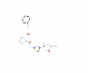 CC(C)CC1CC(C)(c2csc(NC(=O)C3CCCN3C(=O)OCc3ccccc3)n2)OC1=O